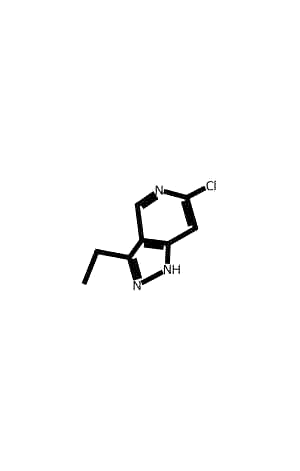 CCc1n[nH]c2cc(Cl)ncc12